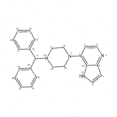 [c]1cc2nccc(N3CCN(C(c4ccccc4)c4ccccc4)CC3)c2[nH]1